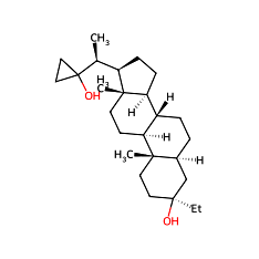 CC[C@]1(O)CC[C@@]2(C)[C@@H](CC[C@@H]3[C@@H]2CC[C@]2(C)[C@@H]([C@H](C)C4(O)CC4)CC[C@@H]32)C1